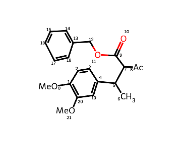 COc1ccc(C(C)C(C(C)=O)C(=O)OCc2ccccc2)cc1OC